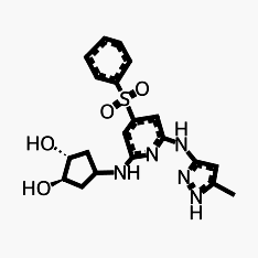 Cc1cc(Nc2cc(S(=O)(=O)c3ccccc3)cc(NC3C[C@@H](O)[C@H](O)C3)n2)n[nH]1